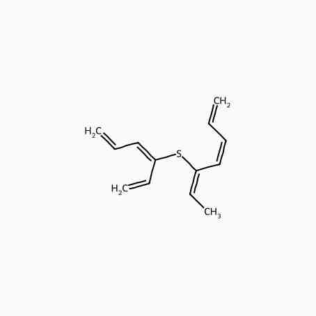 C=C/C=C\C(=C/C)S/C(C=C)=C/C=C